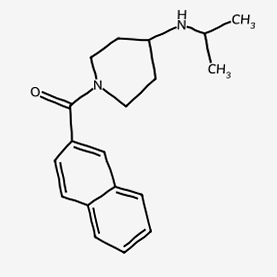 CC(C)NC1CCN(C(=O)c2ccc3ccccc3c2)CC1